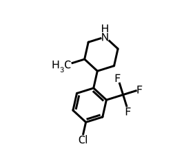 CC1CNCCC1c1ccc(Cl)cc1C(F)(F)F